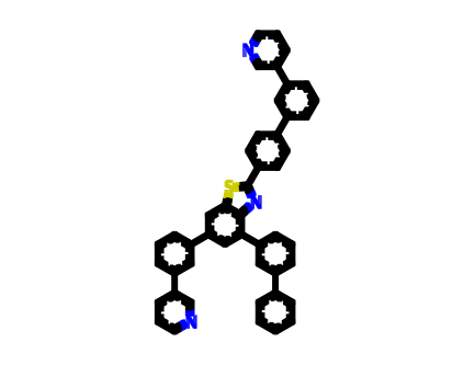 c1ccc(-c2cccc(-c3cc(-c4cccc(-c5cccnc5)c4)cc4sc(-c5ccc(-c6cccc(-c7cccnc7)c6)cc5)nc34)c2)cc1